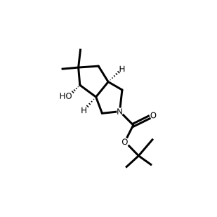 CC(C)(C)OC(=O)N1C[C@@H]2CC(C)(C)[C@@H](O)[C@@H]2C1